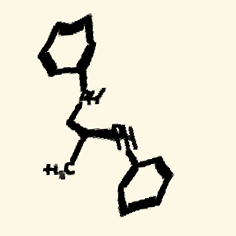 [CH2]C(CPc1ccccc1)Pc1ccccc1